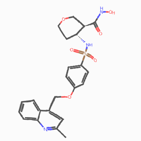 Cc1cc(COc2ccc(S(=O)(=O)N[C@@H]3CCOC[C@H]3C(=O)NO)cc2)c2ccccc2n1